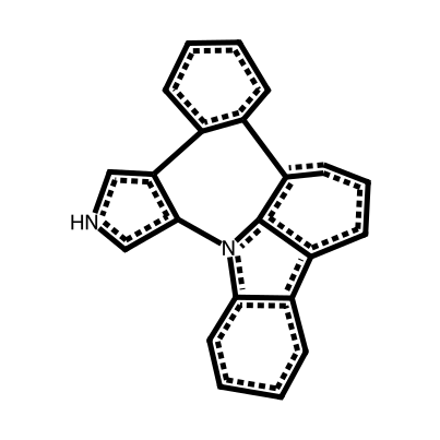 c1ccc2c(c1)-c1c[nH]cc1-n1c3ccccc3c3cccc-2c31